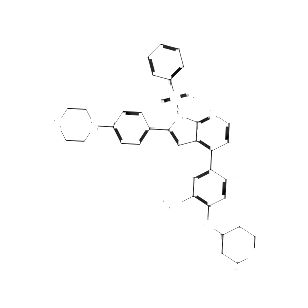 N#Cc1cc(-c2ccnc3c2cc(-c2ccc(N4CCNCC4)cc2)n3S(=O)(=O)c2ccccc2)ccc1OC1CCOCC1